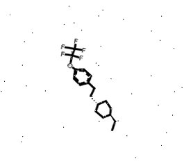 CC[C@H]1CC[C@H](CCc2ccc(OC(F)(F)C(F)(F)F)cc2)CC1